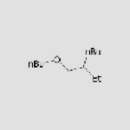 CCCCOCC(CC)CCCC